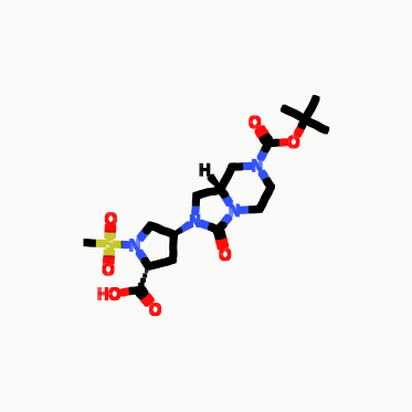 CC(C)(C)OC(=O)N1CCN2C(=O)N([C@H]3C[C@H](C(=O)O)N(S(C)(=O)=O)C3)C[C@@H]2C1